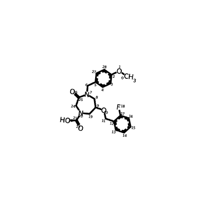 COc1ccc(CN2CC(OCc3ccccc3F)CN(C(=O)O)CC2=O)cc1